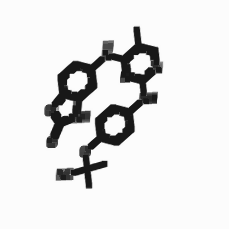 Cc1cnc(Nc2ccc(OC(C)(C)C#N)cc2)nc1Nc1ccc2oc(=O)[nH]c2c1